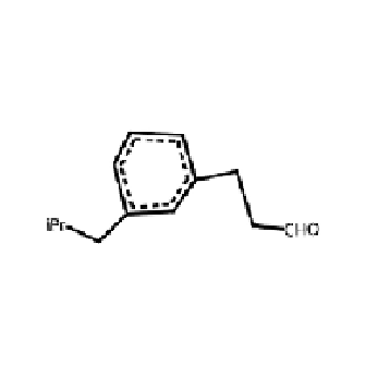 CC(C)Cc1cccc(CCC=O)c1